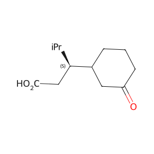 CC(C)[C@H](CC(=O)O)C1CCCC(=O)C1